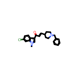 Cn1cc(C(=O)C=CC2CCN(Cc3ccccc3)CC2)c2ccc(Cl)cc21